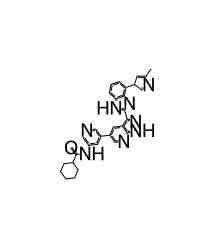 CC1=CC(c2cccc3[nH]c(-c4n[nH]c5ncc(-c6cncc(NC(=O)C7CCCCC7)c6)cc45)nc23)C=N1